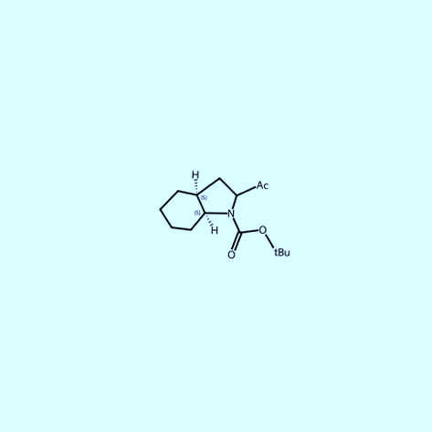 CC(=O)C1C[C@@H]2CCCC[C@@H]2N1C(=O)OC(C)(C)C